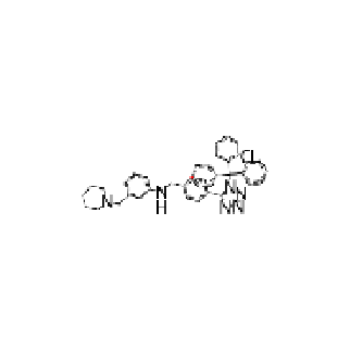 Clc1ccccc1C(c1ccccc1)(c1ccccc1)n1nnnc1-c1ccc(CNc2cccc(CN3CCCCC3)c2)cc1